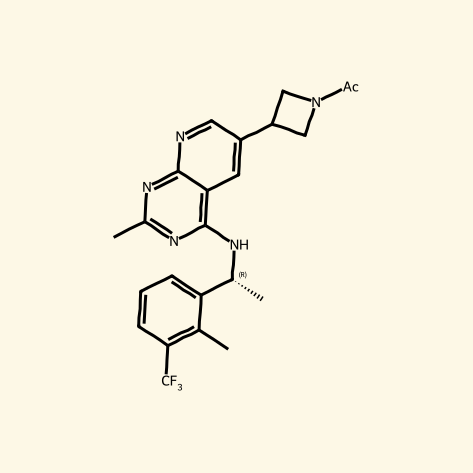 CC(=O)N1CC(c2cnc3nc(C)nc(N[C@H](C)c4cccc(C(F)(F)F)c4C)c3c2)C1